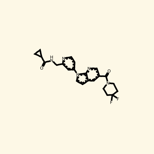 O=C(NCc1cc(-n2ccc3cc(C(=O)N4CCC(F)(F)CC4)cnc32)ccn1)C1CC1